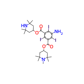 CN1C(C)(C)CC(OC(=O)c2c(I)c(N)c(I)c(C(=O)OC3CC(C)(C)NC(C)(C)C3)c2I)CC1(C)C